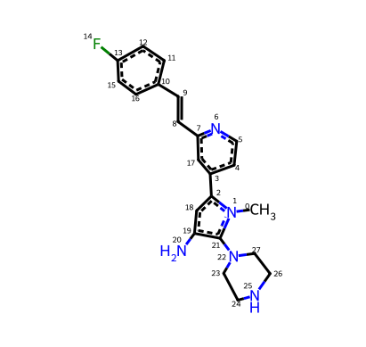 Cn1c(-c2ccnc(/C=C/c3ccc(F)cc3)c2)cc(N)c1N1CCNCC1